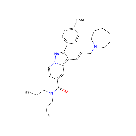 COc1ccc(-c2nn3ccc(C(=O)N(CCC(C)C)CCC(C)C)cc3c2/C=C/CN2CCCCCC2)cc1